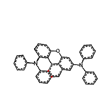 c1ccc(N(c2ccccc2)c2cc3c4c(cccc4c2)-c2c(cccc2N(c2ccccc2)c2ccccc2)O3)cc1